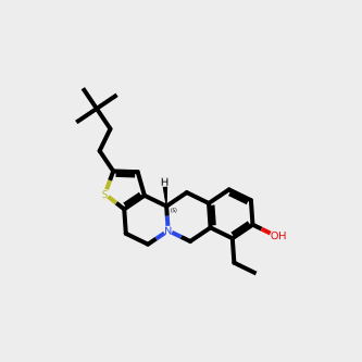 CCc1c(O)ccc2c1CN1CCc3sc(CCC(C)(C)C)cc3[C@@H]1C2